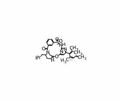 C=C/C=C(/C)C(=C(C)C)c1cc2nc(n1)NS(=O)(=O)c1cccc(c1)C(=O)N1C[C@@H](CCC1CC(C)C)O2